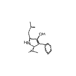 CC(C)CC1NC(N(C)C)C(c2ccccc2)=C1O